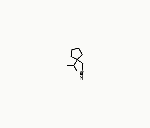 CC(C)C1(CC#N)CCCC1